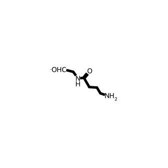 NCCCC(=O)NC[C]=O